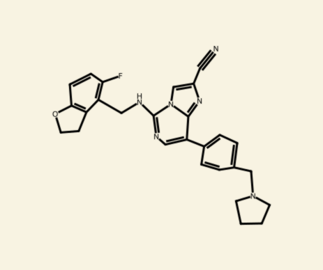 N#Cc1cn2c(NCc3c(F)ccc4c3CCO4)ncc(-c3ccc(CN4CCCC4)cc3)c2n1